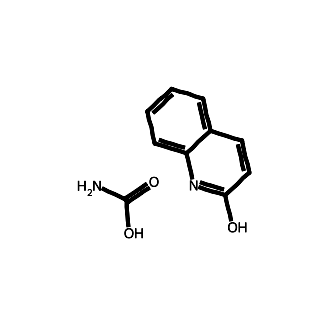 NC(=O)O.Oc1ccc2ccccc2n1